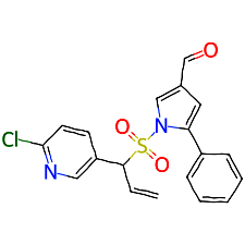 C=CC(c1ccc(Cl)nc1)S(=O)(=O)n1cc(C=O)cc1-c1ccccc1